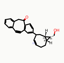 O=C1Cc2ccccc2C#Cc2cc(C3/C=C\CC[C@H]4[C@@H](CO)[C@H]4C3)ccc21